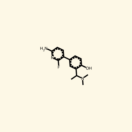 CC(c1cc(-c2ccc(N)nc2F)ccc1O)N(C)C